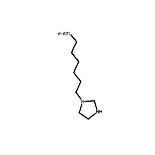 CCCCCCCCCCCCCN1CCNC1